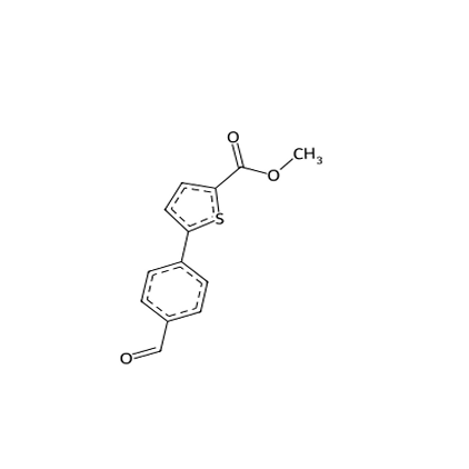 COC(=O)c1ccc(-c2ccc(C=O)cc2)s1